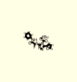 CC(C)(C)OC(=O)n1c(SC(F)C(=O)Nc2ccccc2)nnc1-c1ccco1